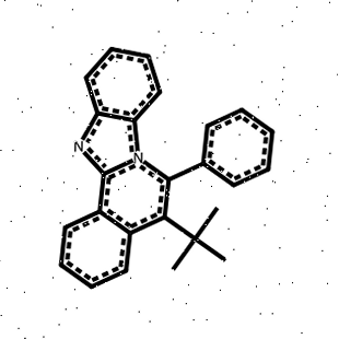 CC(C)(C)c1c(-c2ccccc2)n2c3ccccc3nc2c2ccccc12